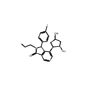 CCCN1C(=O)c2cccc(C3CC(O)CC3O)c2C1c1ccc(F)cc1